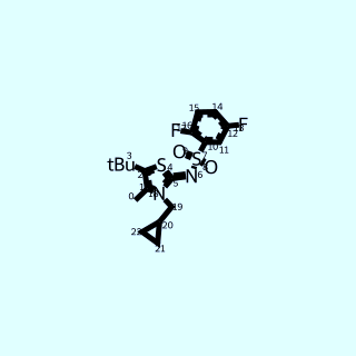 Cc1c(C(C)(C)C)s/c(=N\S(=O)(=O)c2cc(F)ccc2F)n1CC1CC1